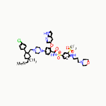 CNCC1(C)CCC(c2ccc(Cl)cc2)=C(CN2CCN(c3ccc(C(=O)NS(=O)(=O)c4ccc(NCCCN5CCOCC5)c(S(=O)(=O)C(F)(F)F)c4)c(Oc4cnc5[nH]ccc5c4)c3)CC2)C1